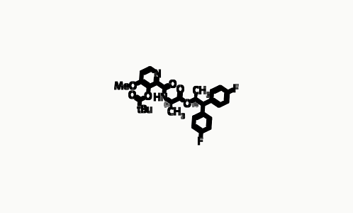 COc1ccnc(C(=O)N[C@@H](C)C(=O)O[C@@H](C)C(c2ccc(F)cc2)c2ccc(F)cc2)c1OC(=O)C(C)(C)C